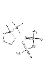 C[N+]1([Si](C)(C)C)CCCC1.O=S(=O)([N-]S(=O)(=O)C(F)(F)F)C(F)(F)F